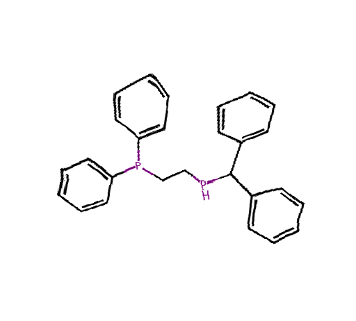 c1ccc(C(PCCP(c2ccccc2)c2ccccc2)c2ccccc2)cc1